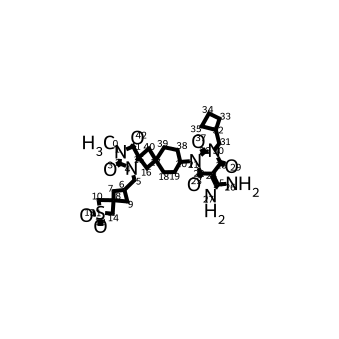 CN1C(=O)N(CC2CC3(C2)CS(=O)(=O)C3)C2(CC3(CCC(N4C(=O)C(=C(N)N)C(=O)N(CC5CCC5)C4=O)CC3)C2)C1=O